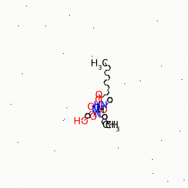 C#Cc1cccc(CN2C[C@@H]3N(C(=O)NCc4ccccc4)[C@H](COC(=O)CC/C=C\C/C=C\C/C=C\C/C=C\C/C=C\C/C=C\CC)CC(=O)N3[C@@H](Cc3ccc(O)cc3)C2=O)c1/C=C\C